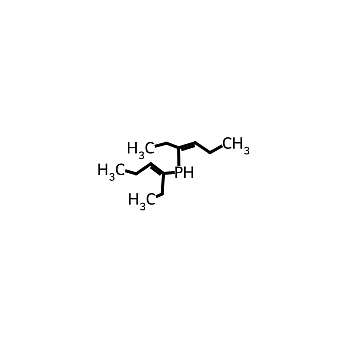 CCC=C(CC)PC(=CCC)CC